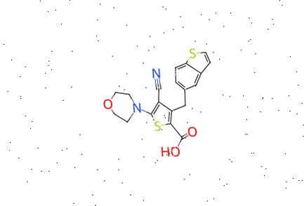 N#Cc1c(N2CCOCC2)sc(C(=O)O)c1Cc1ccc2sccc2c1